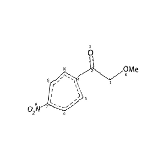 COCC(=O)c1ccc([N+](=O)[O-])cc1